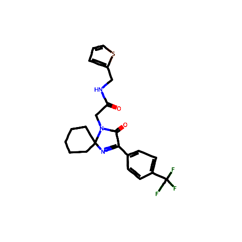 O=C(CN1C(=O)C(c2ccc(C(F)(F)F)cc2)=NC12CCCCC2)NCc1cccs1